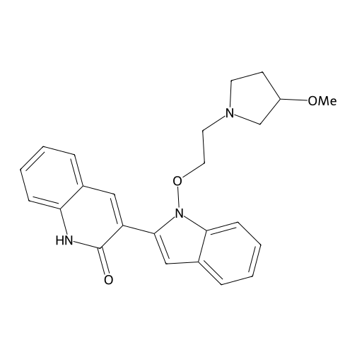 COC1CCN(CCOn2c(-c3cc4ccccc4[nH]c3=O)cc3ccccc32)C1